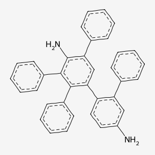 Nc1ccc(-c2cc(-c3ccccc3)c(N)c(-c3ccccc3)c2-c2ccccc2)c(-c2ccccc2)c1